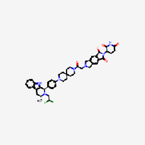 C[C@@H]1Cc2c([nH]c3ccccc23)[C@@H](c2ccc(N3CCC4(CCN(C(=O)CN5Cc6cc7c(cc6C5)C(=O)N(C5CCC(=O)NC5=O)C7=O)CC4)CC3)cc2)N1CC(F)F